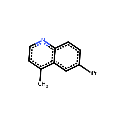 Cc1ccnc2ccc(C(C)C)cc12